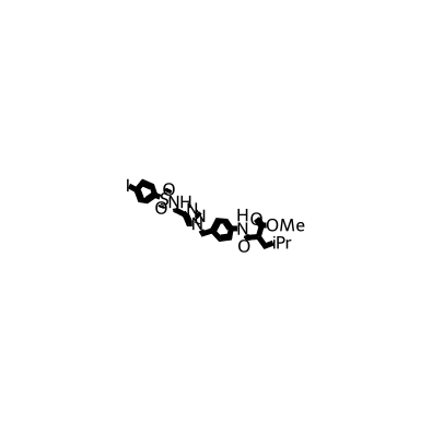 COC(=O)C(CC(C)C)C(=O)Nc1ccc(Cn2cc(CNS(=O)(=O)c3ccc(I)cc3)nn2)cc1